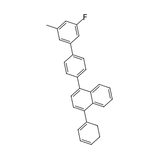 Cc1cc(F)cc(-c2ccc(-c3ccc(C4=CC=CCC4)c4ccccc34)cc2)c1